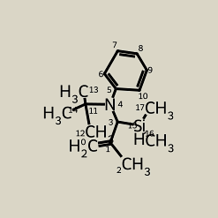 C=C(C)C(N(c1ccccc1)C(C)(C)C)[SiH](C)C